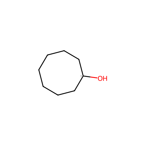 O[C]1CCCCCCC1